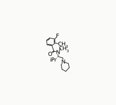 Cc1c(F)cccc1C(=O)N(C)[C@H](CN1CCCCC1)C(C)C